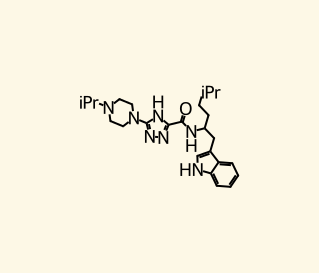 CC(C)CCC(Cc1c[nH]c2ccccc12)NC(=O)c1nnc(N2CCN(C(C)C)CC2)[nH]1